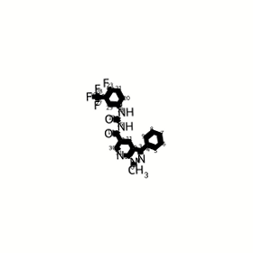 Cn1nc(-c2ccccc2)c2cc(C(=O)NC(=O)Nc3ccc(F)c(C(F)(F)F)c3)cnc21